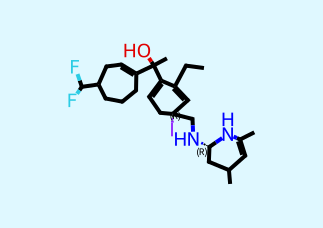 CCC1=C[C@@](I)(CN[C@H]2CC(C)C=C(C)N2)CC=C1C(C)(O)C1=CCC(C(F)F)CCC1